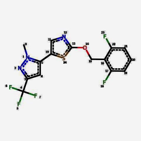 Cn1nc(C(F)(F)F)cc1-c1cnc(OCc2c(F)cccc2F)s1